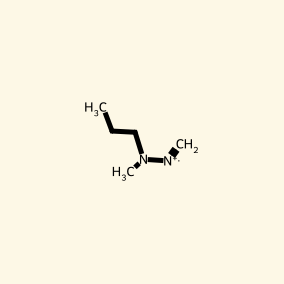 C=[N+]N(C)CCC